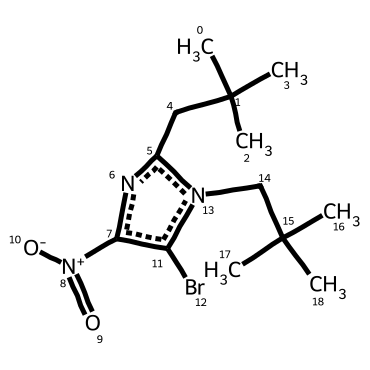 CC(C)(C)Cc1nc([N+](=O)[O-])c(Br)n1CC(C)(C)C